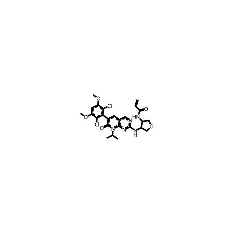 C=CC(=O)NC1COCC1Nc1ncc2cc(-c3c(Cl)c(OC)cc(OC)c3Cl)c(=O)n(C(C)C)c2n1